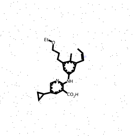 C/C=C\c1cc(Nc2ncc(C3CC3)cc2C(=O)O)cc(CCCOCC)c1C